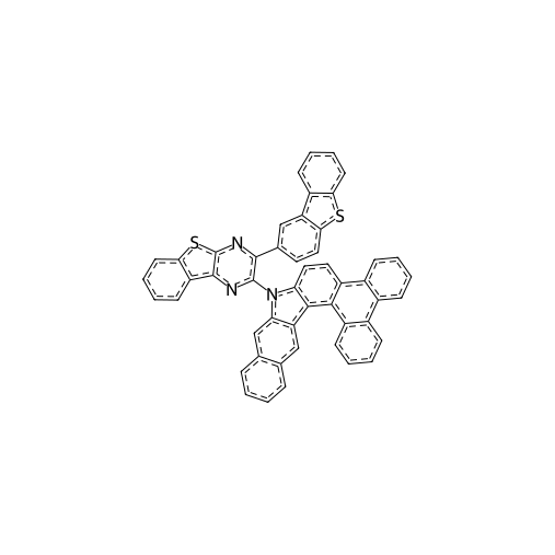 c1ccc2cc3c(cc2c1)c1c2c4ccccc4c4ccccc4c2ccc1n3-c1nc2c(nc1-c1ccc3sc4ccccc4c3c1)sc1ccccc12